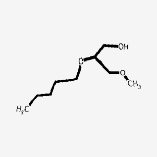 CCCCCOC(CO)COC